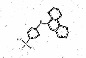 C[Si](C)(C)c1ccc(Nc2cc3ccccc3c3ccccc23)cc1